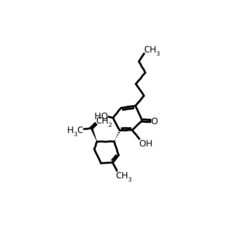 C=C(C)[C@@H]1CCC(C)=C[C@H]1C1=C(O)C(=O)C(CCCCC)=CC1O